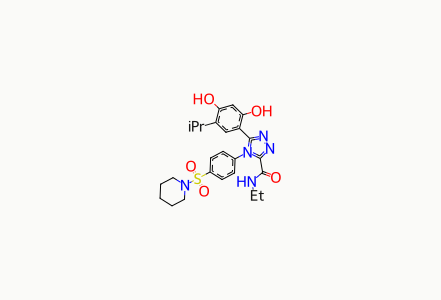 CCNC(=O)c1nnc(-c2cc(C(C)C)c(O)cc2O)n1-c1ccc(S(=O)(=O)N2CCCCC2)cc1